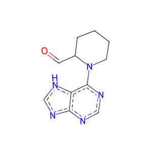 O=CC1CCCCN1c1ncnc2nc[nH]c12